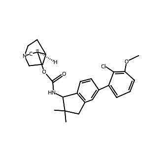 COc1cccc(-c2ccc3c(c2)CC(C)(C)C3NC(=O)O[C@H]2CN3CCC2CC3)c1Cl